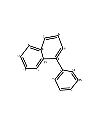 [c]1ccc(-c2cc[c]c3ccccc23)cc1